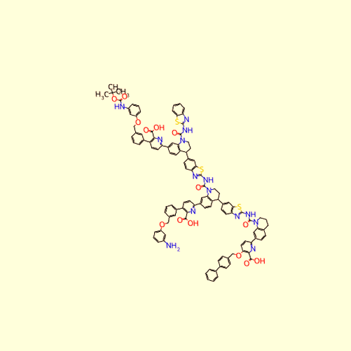 CC(C)(C)OC(=O)Nc1cccc(OCc2cccc(-c3ccc(-c4ccc5c(c4)N(C(=O)Nc4nc6ccccc6s4)CCC5c4ccc5nc(NC(=O)N6CCC(c7ccc8nc(NC(=O)N9CCCc%10ccc(-c%11ccc(OCc%12ccc(-c%13ccccc%13)cc%12)c(C(=O)O)n%11)cc%109)sc8c7)c7ccc(-c8ccc(-c9cccc(COc%10cccc(N)c%10)c9)c(C(=O)O)n8)cc76)sc5c4)nc3C(=O)O)c2)c1